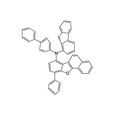 c1ccc(-c2ccc(N(c3cccc4c3sc3ccccc34)c3ccc(-c4ccccc4)c4oc5c6ccccc6ccc5c34)cc2)cc1